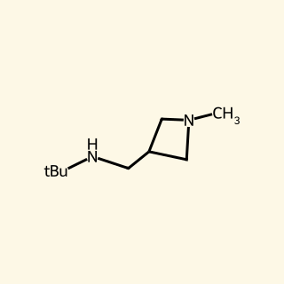 CN1CC(CNC(C)(C)C)C1